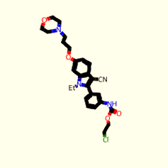 CCn1c(-c2cccc(NC(=O)OCCCl)c2)c(C#N)c2ccc(OCCCN3CCOCC3)cc21